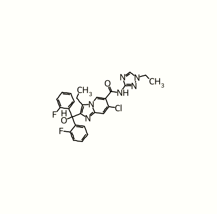 CCc1c(C(O)(c2ccccc2F)c2ccccc2F)nc2cc(Cl)c(C(=O)Nc3ncn(CC)n3)cn12